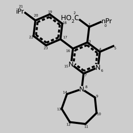 CCCC(C(=O)O)c1c(C)nc(N2CCCCCC2)nc1-c1ccc(C(C)C)cc1